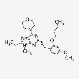 CCCCOc1cc(OC)ccc1CSc1nc(N2CCOCC2)c2nc(CC)n(C)c2n1